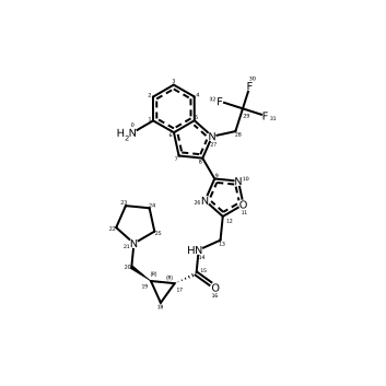 Nc1cccc2c1cc(-c1noc(CNC(=O)[C@@H]3C[C@H]3CN3CCCC3)n1)n2CC(F)(F)F